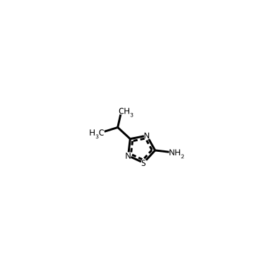 CC(C)c1nsc(N)n1